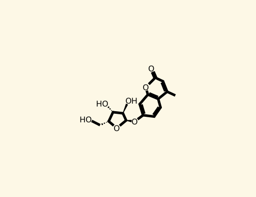 Cc1cc(=O)oc2cc(O[C@H]3O[C@H](CO)[C@H](O)[C@H]3O)ccc12